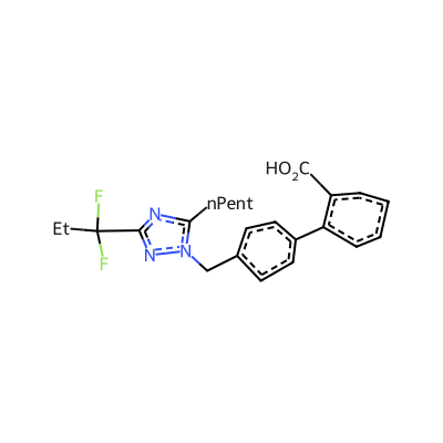 CCCCCc1nc(C(F)(F)CC)nn1Cc1ccc(-c2ccccc2C(=O)O)cc1